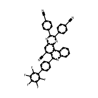 N#Cc1ccc(-c2nc3cc(C#N)c4c(-c5ccc(-c6c(F)c(F)c(F)c(F)c6F)cc5)nc5ccccc5c4c3nc2-c2ccc(C#N)cc2)cc1